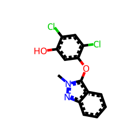 Cn1nc2ccccc2c1Oc1cc(O)c(Cl)cc1Cl